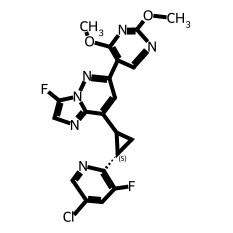 COc1ncc(-c2cc(C3C[C@@H]3c3ncc(Cl)cc3F)c3ncc(F)n3n2)c(OC)n1